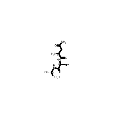 CC(C)[C@H](NC(=O)[C@@H](NC(=O)[C@@H](N)CC(N)=O)C(C)C)C(=O)O